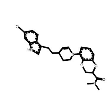 CN(C)C(=O)C1COc2c(cccc2N2C=CC(CCc3c[nH]c4cc(Cl)ccc34)CC2)O1